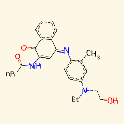 CCCC(=O)NC1=C/C(=N\c2ccc(N(CC)CCO)cc2C)c2ccccc2C1=O